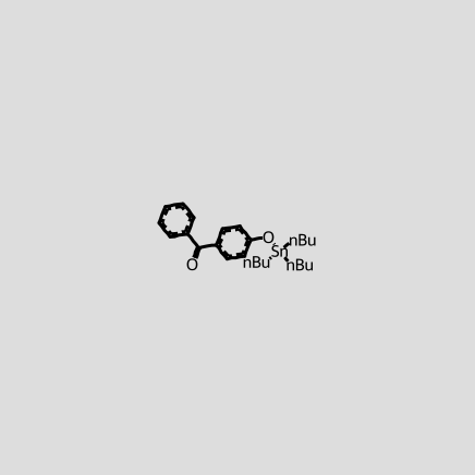 CCC[CH2][Sn]([CH2]CCC)([CH2]CCC)[O]c1ccc(C(=O)c2ccccc2)cc1